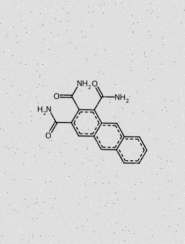 NC(=O)c1cc2cc3ccccc3cc2c(C(N)=O)c1C(N)=O